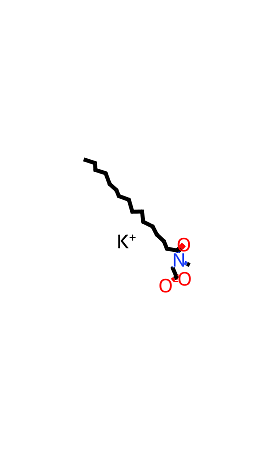 CCCCCCCCCCCCCCCC(=O)N(C)CC(=O)[O-].[K+]